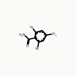 [2H]c1cc(C(F)(F)F)cc([2H])c1C(N)=O